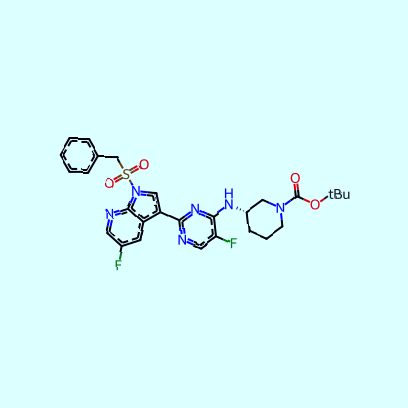 CC(C)(C)OC(=O)N1CCC[C@H](Nc2nc(-c3cn(S(=O)(=O)Cc4ccccc4)c4ncc(F)cc34)ncc2F)C1